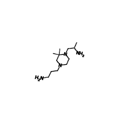 CC(N)CN1CCN(CCCN)CC1(C)C